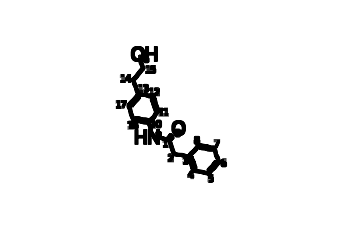 O=C(Cc1ccccc1)Nc1ccc(CCO)cc1